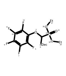 CCCCCCCCCCC(Oc1c(F)c(F)c(F)c(F)c1F)P(=O)(OCC)OCC